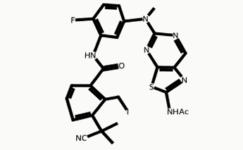 CC(=O)Nc1nc2cnc(N(C)c3ccc(F)c(NC(=O)c4cccc(C(C)(C)C#N)c4CI)c3)nc2s1